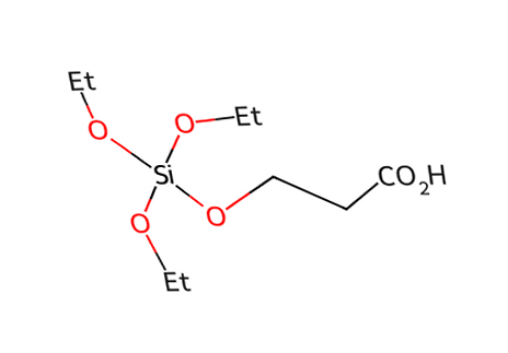 CCO[Si](OCC)(OCC)OCCC(=O)O